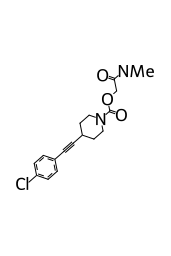 CNC(=O)COC(=O)N1CCC(C#Cc2ccc(Cl)cc2)CC1